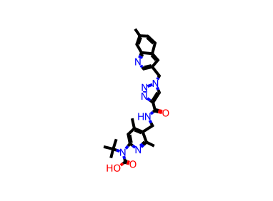 Cc1ccc2cc(Cn3cc(C(=O)NCc4c(C)cc(N(C(=O)O)C(C)(C)C)nc4C)nn3)cnc2c1